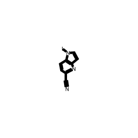 N#Cc1ccc2c(ccn2I)n1